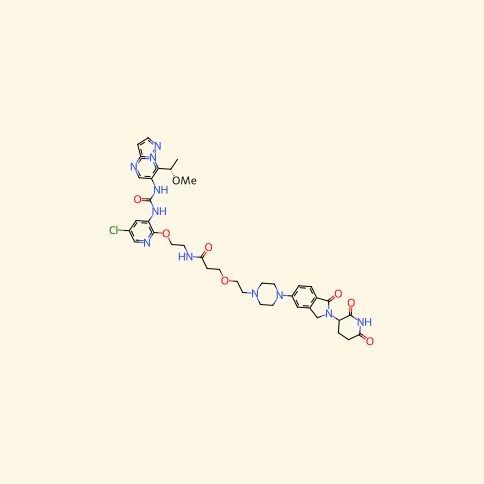 CO[C@@H](C)c1c(NC(=O)Nc2cc(Cl)cnc2OCCNC(=O)CCOCCN2CCN(c3ccc4c(c3)CN(C3CCC(=O)NC3=O)C4=O)CC2)cnc2ccnn12